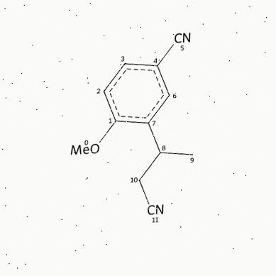 COc1ccc(C#N)cc1C(C)CC#N